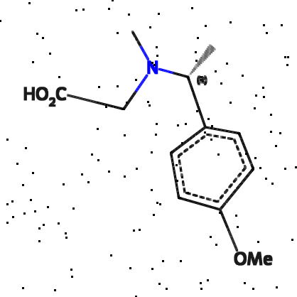 COc1ccc([C@@H](C)N(C)CC(=O)O)cc1